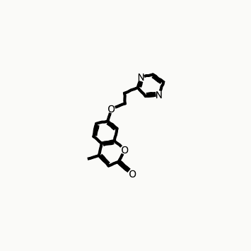 Cc1cc(=O)oc2cc(OCCc3cnccn3)ccc12